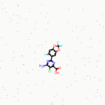 Nc1nc(-c2cc3c(cc2F)OC(F)(F)O3)nc(C(=O)O)c1Cl